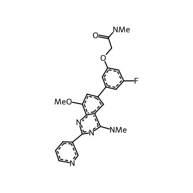 CNC(=O)COc1cc(F)cc(-c2cc(OC)c3nc(-c4cccnc4)nc(NC)c3c2)c1